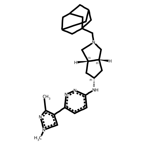 Cc1nn(C)cc1-c1ccc(N[C@@H]2C[C@@H]3CN(CC45CC6CC(CC(C6)C4)C5)C[C@@H]3C2)nn1